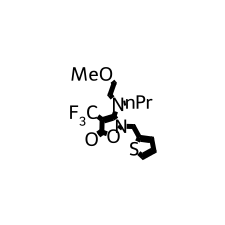 CCCN(CCOC)c1c(C(F)(F)F)c(=O)on1Cc1cccs1